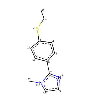 CCSc1ccc(-c2nccn2C)cc1